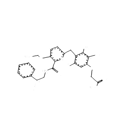 COCOc1ccc(Cc2c(C)cc(OCC(=O)OC)c(C)c2C)nc1C(=O)NC[C@H](C)c1ccccc1